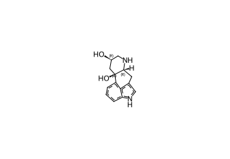 O[C@H]1CN[C@@H]2Cc3c[nH]c4cccc(c34)[C@]2(O)C1